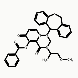 COCC(C)N1CN(C2c3ccccc3CSc3ccccc32)n2ccc(=O)c(OC(=O)c3ccccc3)c2C1=O